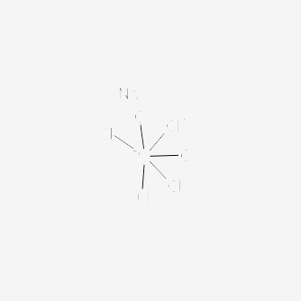 [Cl][Pt]([Cl])([Cl])([Cl])([Cl])[Cl].[Na]